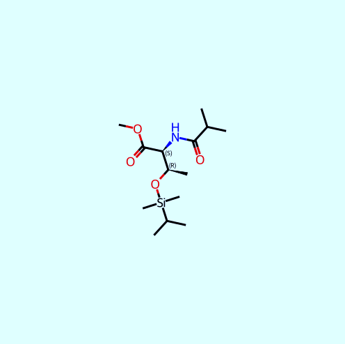 COC(=O)[C@@H](NC(=O)C(C)C)[C@@H](C)O[Si](C)(C)C(C)C